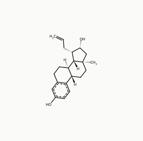 C=CC[C@H]1[C@H]2[C@@H]3CCc4cc(O)ccc4[C@H]3CC[C@]2(C)C[C@H]1O